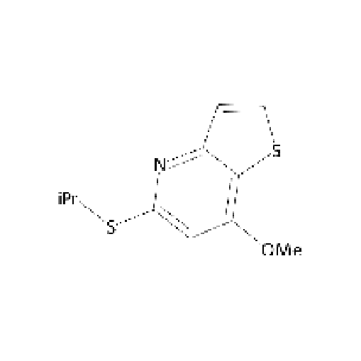 COc1cc(SC(C)C)nc2ccsc12